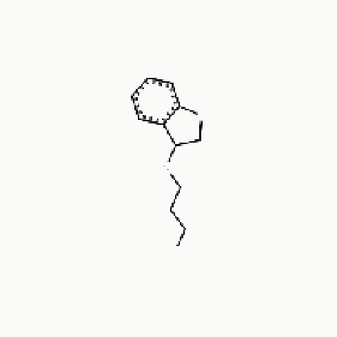 CCCCNC1[C]Oc2ccccc21